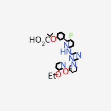 CCOc1cccnc1O[C@@H]1CCCN(c2cncc(Nc3ccc(F)c(-c4cccc(OC(C)(C)C(=O)O)c4)n3)n2)C1